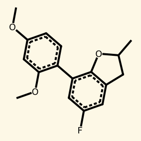 COc1ccc(-c2cc(F)cc3c2OC(C)C3)c(OC)c1